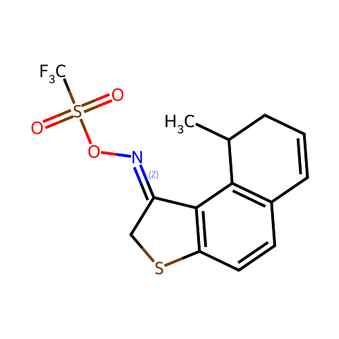 CC1CC=Cc2ccc3c(c21)/C(=N/OS(=O)(=O)C(F)(F)F)CS3